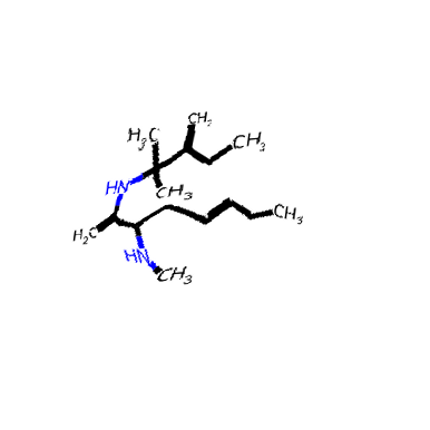 C=C(NC(C)(C)C(=C)CC)C(CC=CCC)NC